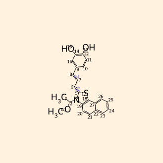 COC(C)N1/C(=C/C=C/c2ccc(O)c(O)c2)Sc2c1ccc1ccccc21